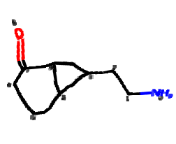 NCCC1C2CCC(=O)C12